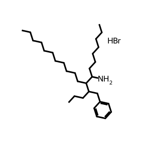 Br.CCCCCCCCCCCC(C(N)CCCCCCC)C(CCC)Cc1ccccc1